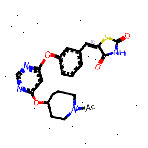 CC(=O)N1CCC(Oc2cc(Oc3cccc(/C=C4/SC(=O)NC4=O)c3)ncn2)CC1